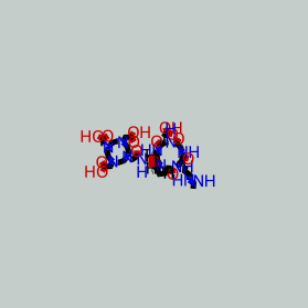 CC(=N)NCCC[C@@H]1NC(=O)[C@@H]2CC[C@H]3C[C@@H](CNC(=O)CN4CCN(CC(=O)O)CCN(CC(=O)O)CCN(CC(=O)O)CC4)[C@@H](NC(=O)[C@H](CC(=O)O)NC(=O)CNC1=O)C(=O)N32